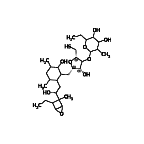 CCC1OC(OC2[C@@H](CS)O[C@@H](CC3C(O)C(C)CC(C)C3CC(O)C3(C)C(CC)C4OC43)[C@H]2O)C(C)C(O)C1O